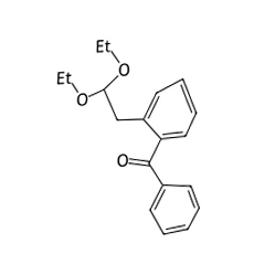 CCOC(Cc1ccccc1C(=O)c1ccccc1)OCC